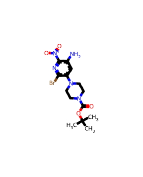 CC(C)(C)OC(=O)N1CCN(c2cc(N)c([N+](=O)[O-])nc2Br)CC1